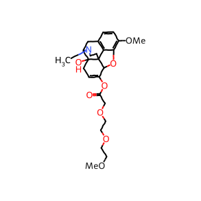 COCCOCCOCC(=O)OC1=CCC2(O)C3Cc4ccc(OC)c5c4C2(CCN3C)C1O5